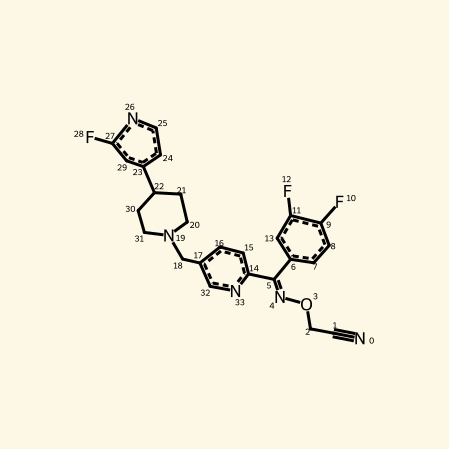 N#CCO/N=C(\c1ccc(F)c(F)c1)c1ccc(CN2CCC(c3ccnc(F)c3)CC2)cn1